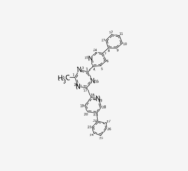 Cc1nc(-c2ccc(-c3ccccc3)cn2)nc(-c2ccc(-c3ccccc3)cn2)n1